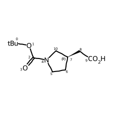 CC(C)(C)OC(=O)N1CC[C@H](CC(=O)O)C1